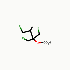 CC(CF)C(CF)(CF)OC(=O)O